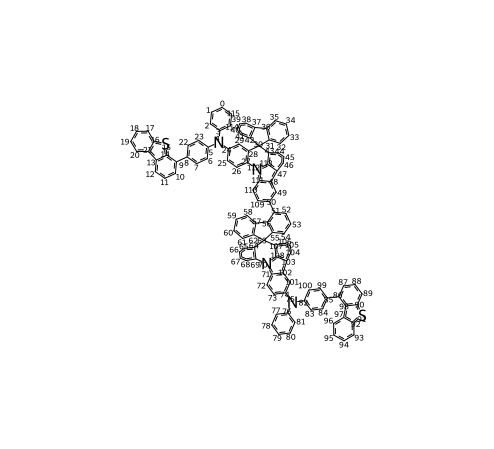 c1ccc(N(c2ccc(-c3cccc4c3sc3ccccc34)cc2)c2ccc3c(c2)C2(c4ccccc4-c4ccccc42)c2cccc4c5cc(-c6cccc7c6-c6ccccc6C76c7ccccc7-n7c8ccc(N(c9ccccc9)c9ccc(-c%10cccc%11sc%12ccccc%12c%10%11)cc9)cc8c8cccc6c87)ccc5n-3c24)cc1